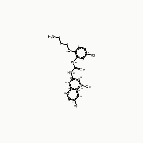 NCCCOc1ccc(Cl)cc1NC(=O)Nc1nc2ccc(F)cc2[n+]([O-])n1